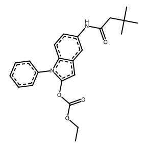 CCOC(=O)Oc1cc2cc(NC(=O)CC(C)(C)C)ccc2n1-c1ccccc1